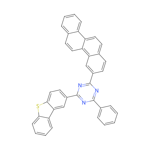 c1ccc(-c2nc(-c3ccc4ccc5c6ccccc6ccc5c4c3)nc(-c3ccc4sc5ccccc5c4c3)n2)cc1